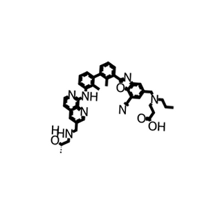 CCCN(CCC(=O)O)Cc1cc(C#N)c2oc(-c3cccc(-c4cccc(Nc5nccc6cc(CNC[C@H](C)O)cnc56)c4C)c3C)nc2c1